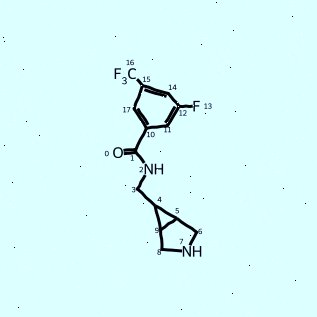 O=C(NCC1C2CNCC21)c1cc(F)cc(C(F)(F)F)c1